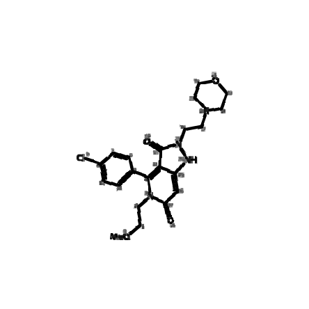 COCCn1c(-c2ccc(Cl)cc2)c2c(=O)n(CCN3CCOCC3)[nH]c2cc1=O